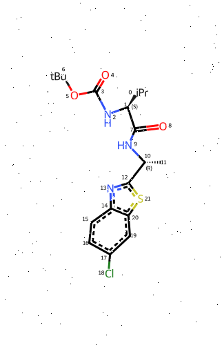 CC(C)[C@H](NC(=O)OC(C)(C)C)C(=O)N[C@H](C)c1nc2ccc(Cl)cc2s1